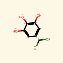 ClCCl.Oc1cccc(O)c1O